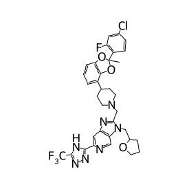 CC1(c2ccc(Cl)cc2F)Oc2cccc(C3CCN(Cc4nc5cc(-c6nnc(C(F)(F)F)[nH]6)ncc5n4CC4CCCO4)CC3)c2O1